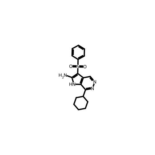 Nc1[nH]c2c(C3CCCCC3)nncc2c1S(=O)(=O)c1ccccc1